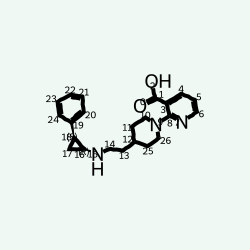 O=C(O)c1cccnc1N1CCC(CCN[C@@H]2C[C@H]2c2ccccc2)CC1